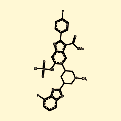 CCS(=O)(=O)Nc1cc2oc(-c3ccc(F)cc3)c(C(=O)NC)c2cc1C1CC(c2nc3c(F)cccc3o2)CN(C)C1